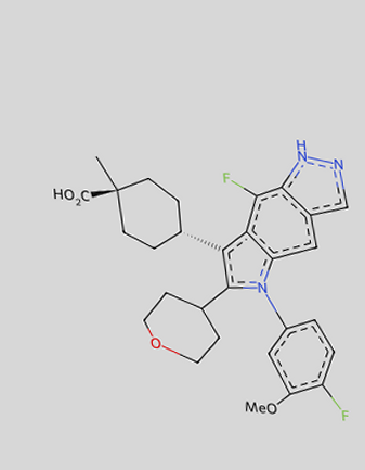 COc1cc(-n2c(C3CCOCC3)c([C@H]3CC[C@](C)(C(=O)O)CC3)c3c(F)c4[nH]ncc4cc32)ccc1F